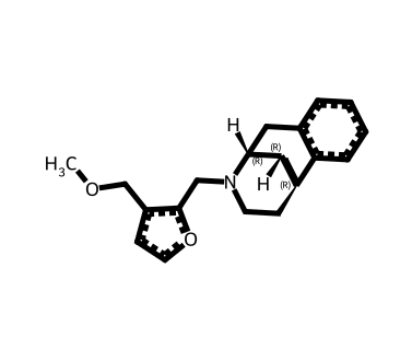 COCc1ccoc1CN1CC[C@]23CCCC[C@H]2[C@H]1Cc1ccccc13